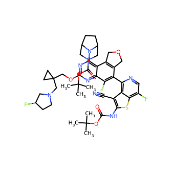 CC(C)(C)OC(=O)Nc1sc2c(F)cnc(-c3c4c(c5c(N6C7CCC6CN(C(=O)OC(C)(C)C)C7)nc(OCC6(CN7CC[C@@H](F)C7)CC6)nc5c3F)COC4)c2c1C#N